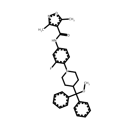 COC(c1ccccc1)(c1ccccc1)C1CCN(c2ccc(NC(=O)c3c(C)noc3C)cc2F)CC1